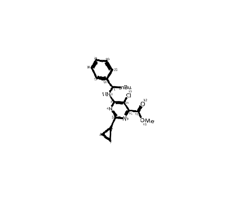 CCCCC(Nc1nc(C2CC2)nc(C(=O)OC)c1Cl)c1ccccc1